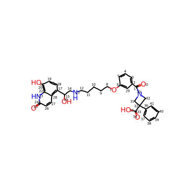 O=C(c1cccc(OCCCCCNCC(O)c2ccc(O)c3[nH]c(=O)ccc23)c1)N1CC(C(=O)O)(c2ccccc2)C1